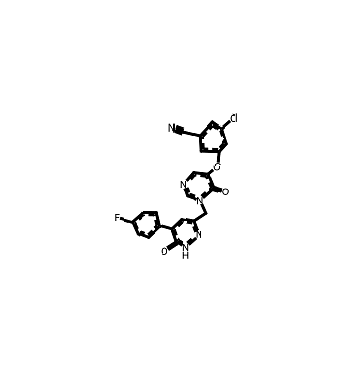 N#Cc1cc(Cl)cc(Oc2cncn(Cc3cc(-c4ccc(F)cc4)c(=O)[nH]n3)c2=O)c1